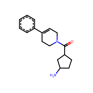 NC1CCC(C(=O)N2CC=C(c3ccccc3)CC2)C1